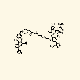 Cc1ncsc1-c1ccc(CNC(=O)[C@@H]2C[C@@H](O)CN2C(=O)[C@@H](NC(=O)C2(F)CC2)C(C)(C)C)c(OCCCCCCCCNC(=O)CN2CCN(C(=O)c3ccc(Nc4nc(C5CC5)cn5c(-c6cn[nH]c6)cnc45)c(F)c3)CC2)c1